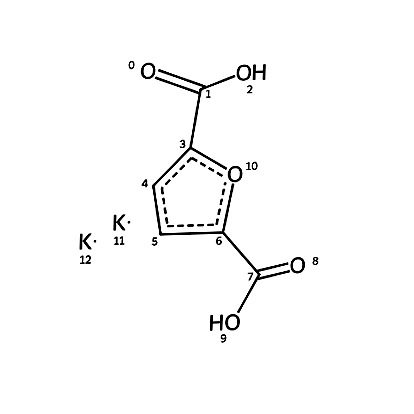 O=C(O)c1ccc(C(=O)O)o1.[K].[K]